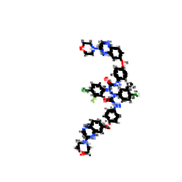 O=C(Nc1ccc(Oc2ccc3ncc(N4CCOCC4)nc3c2)cc1)N(c1ccc(Cl)c(F)c1)N(C(=O)Nc1ccc(Oc2ccc3ncc(N4CCOCC4)nc3c2)cc1)c1ccc(Cl)c(C(F)(F)F)c1